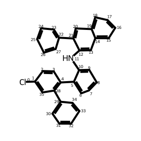 Clc1ccc(-c2ccccc2Nc2cc3ccccc3cc2-c2ccccc2)c(-c2ccccc2)c1